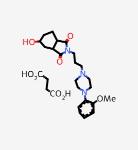 COc1ccccc1N1CCN(CCCN2C(=O)C3CCC(O)CC3C2=O)CC1.O=C(O)CCC(=O)O